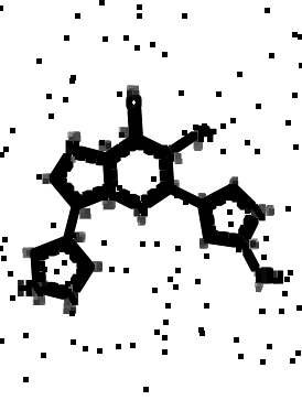 CC(C)n1c(-c2cnn(C(C)(C)C)c2)nn2c(-c3cn[nH]c3)cnc2c1=O